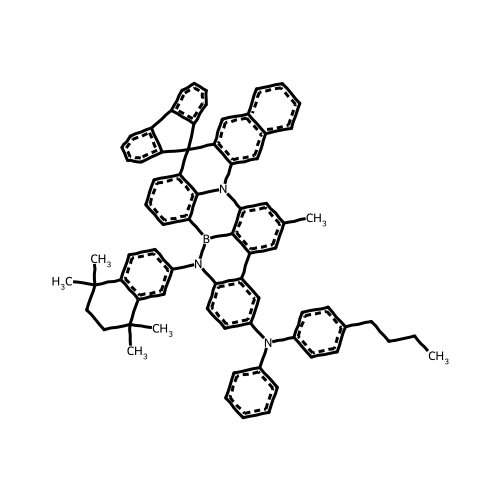 CCCCc1ccc(N(c2ccccc2)c2ccc3c(c2)-c2cc(C)cc4c2B(c2cccc5c2N4c2cc4ccccc4cc2C52c4ccccc4-c4ccccc42)N3c2ccc3c(c2)C(C)(C)CCC3(C)C)cc1